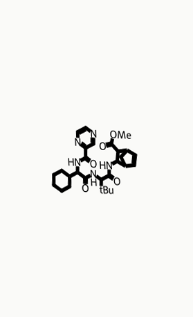 COC(=O)C1C2C=CC(C2)C1NC(=O)C(NC(=O)C(NC(=O)c1cnccn1)C1CCCCC1)C(C)(C)C